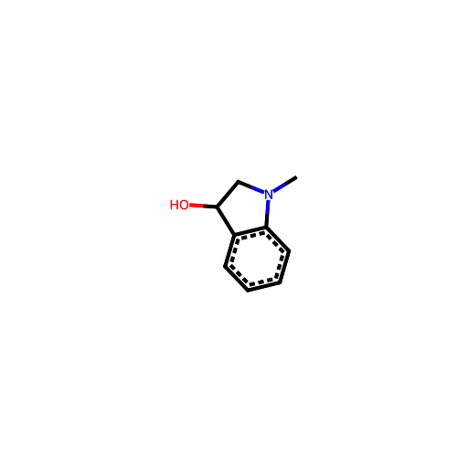 CN1CC(O)c2ccccc21